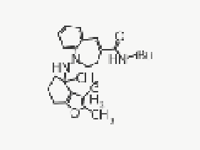 CCC(C)NC(=O)C1=Cc2ccccc2N(NC2(C)CCCc3oc(C)c(C)c32)CC1